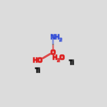 NOO.O.[Ti].[Ti]